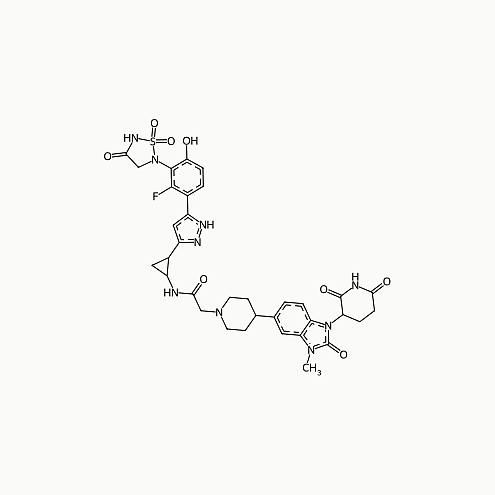 Cn1c(=O)n(C2CCC(=O)NC2=O)c2ccc(C3CCN(CC(=O)NC4CC4c4cc(-c5ccc(O)c(N6CC(=O)NS6(=O)=O)c5F)[nH]n4)CC3)cc21